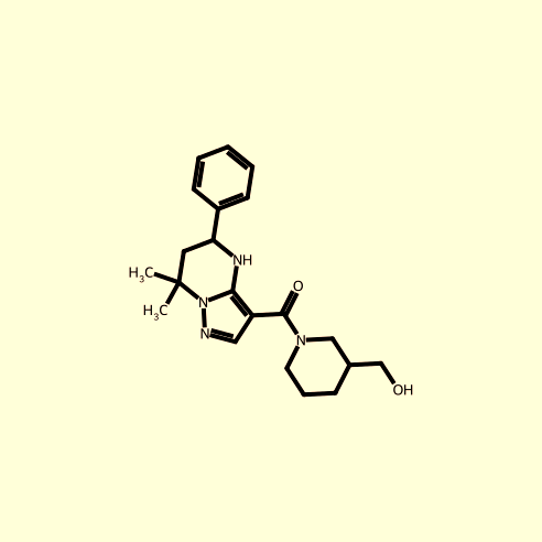 CC1(C)CC(c2ccccc2)Nc2c(C(=O)N3CCCC(CO)C3)cnn21